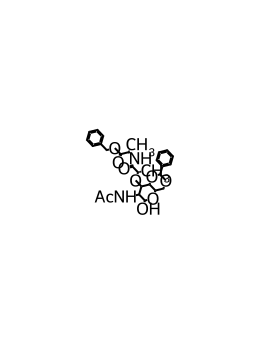 CC(=O)NC1C(O)OC2COC(c3ccccc3)OC2C1O[C@H](C)C(=O)N[C@@H](C)C(=O)OCc1ccccc1